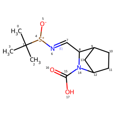 CC(C)(C)[S+]([O-])/N=C/C1C2CCC(C2)N1C(=O)O